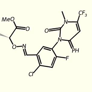 COC(=O)[C@@H](C)O/N=C/c1cc(-n2c(=P)cc(C(F)(F)F)n(C)c2=O)c(F)cc1Cl